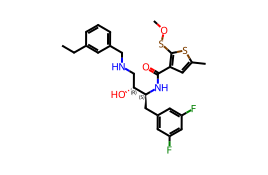 CCc1cccc(CNC[C@@H](O)[C@H](Cc2cc(F)cc(F)c2)NC(=O)c2cc(C)sc2SOC)c1